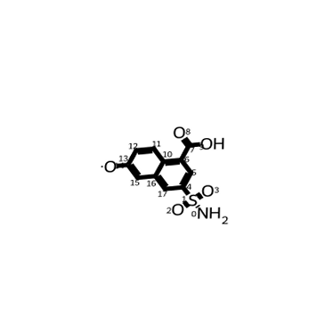 NS(=O)(=O)c1cc(C(=O)O)c2ccc([O])cc2c1